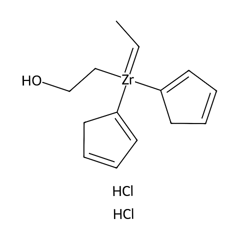 C[CH]=[Zr]([CH2]CO)([C]1=CC=CC1)[C]1=CC=CC1.Cl.Cl